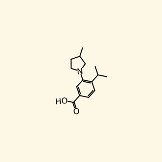 CC1CCN(c2cc(C(=O)O)ccc2C(C)C)C1